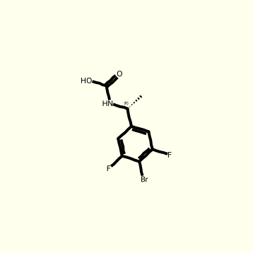 C[C@@H](NC(=O)O)c1cc(F)c(Br)c(F)c1